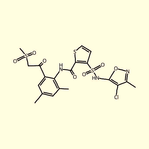 Cc1cc(C)c(NC(=O)c2sccc2S(=O)(=O)Nc2onc(C)c2Cl)c(C(=O)CS(C)(=O)=O)c1